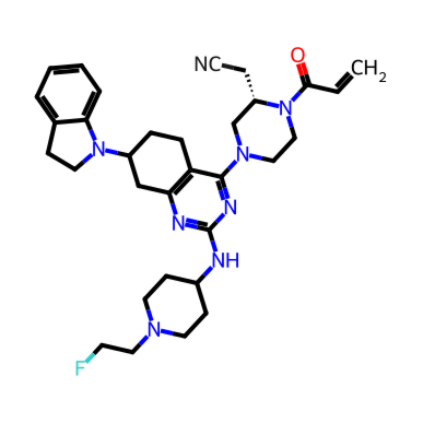 C=CC(=O)N1CCN(c2nc(NC3CCN(CCF)CC3)nc3c2CCC(N2CCc4ccccc42)C3)C[C@@H]1CC#N